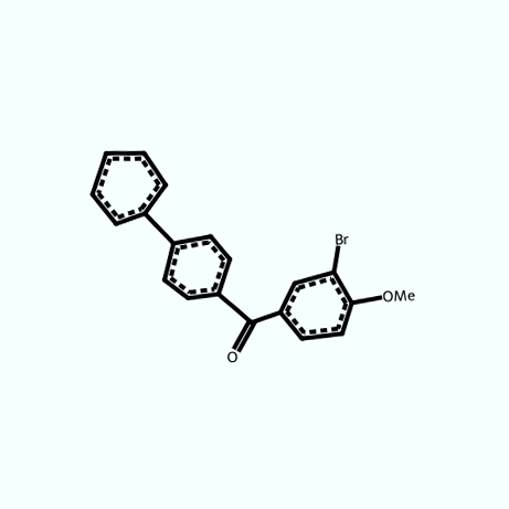 COc1ccc(C(=O)c2ccc(-c3ccccc3)cc2)cc1Br